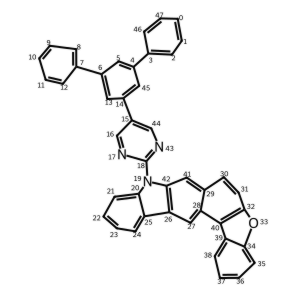 c1ccc(-c2cc(-c3ccccc3)cc(-c3cnc(-n4c5ccccc5c5cc6c(ccc7oc8ccccc8c76)cc54)nc3)c2)cc1